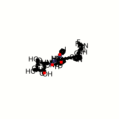 N#C[C@H]1CC(F)(F)CN1C(=O)CNC(=O)c1ccnc2ccc(OCCCCN3CCN(C(=O)CCN/N=C\C(C/C=N/NCN/N=C/c4ccc(I)cc4)NC(=O)CN4CCN(CC(=O)O)CCN(CC(=O)O)CCN(CC(=O)O)CC4)CC3)cc12